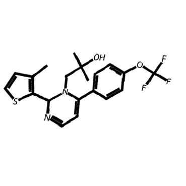 Cc1ccsc1C1N=CC=C(c2ccc(OC(F)(F)F)cc2)N1CC(C)(C)O